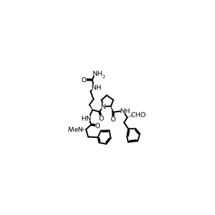 CN[C@@H](Cc1ccccc1)C(=O)N[C@@H](CCCNC(N)=O)C(=O)N1CCC[C@H]1C(=O)N[C@H]([C]=O)Cc1ccccc1